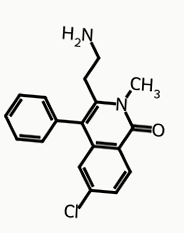 Cn1c(CCN)c(-c2ccccc2)c2cc(Cl)ccc2c1=O